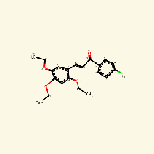 CCOc1cc(OCC)c(OCC)cc1/C=C/C(=O)c1ccc(Cl)cc1